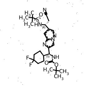 CC(C)(C)OC(=O)N[C@H](c1cn2ncc([C@@H](CC#N)N[S@@+]([O-])C(C)(C)C)cc2n1)C1CCC(F)(F)CC1